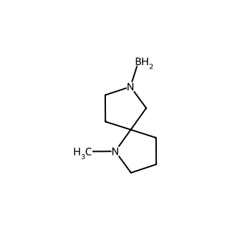 BN1CCC2(CCCN2C)C1